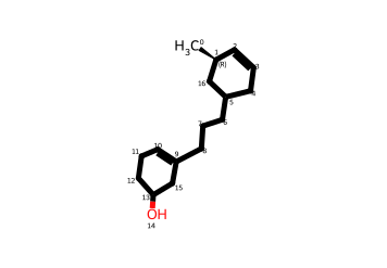 C[C@H]1C=CCC(CCCC2=CCCC(O)C2)C1